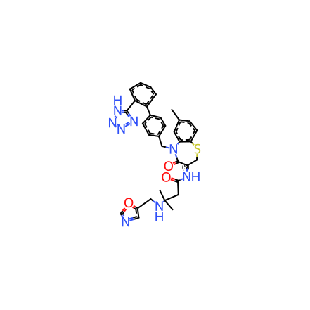 Cc1ccc2c(c1)N(Cc1ccc(-c3ccccc3-c3nnn[nH]3)cc1)C(=O)[C@H](NC(=O)CC(C)(C)NCc1cnco1)CS2